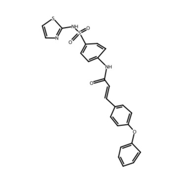 O=C(/C=C/c1ccc(Oc2ccccc2)cc1)Nc1ccc(S(=O)(=O)Nc2nccs2)cc1